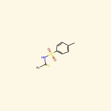 [CH2]C(=O)C(=S)NS(=O)(=O)c1ccc(C)cc1